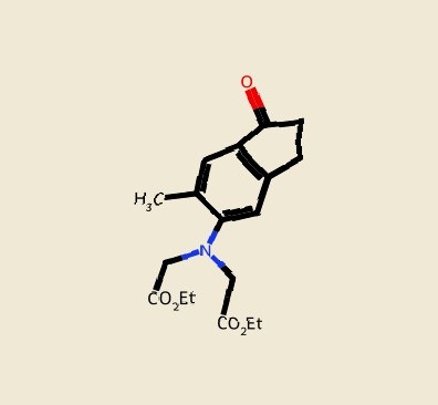 CCOC(=O)CN(CC(=O)OCC)c1cc2c(cc1C)C(=O)CC2